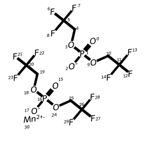 O=P([O-])(OCC(F)(F)F)OCC(F)(F)F.O=P([O-])(OCC(F)(F)F)OCC(F)(F)F.[Mn+2]